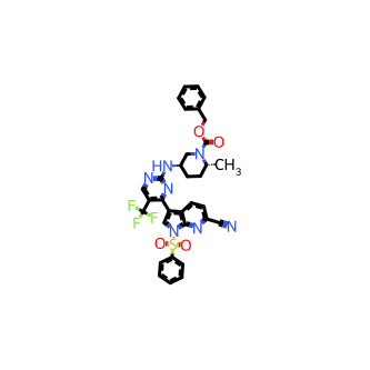 C[C@@H]1CC[C@@H](Nc2ncc(C(F)(F)F)c(-c3cn(S(=O)(=O)c4ccccc4)c4nc(C#N)ccc34)n2)CN1C(=O)OCc1ccccc1